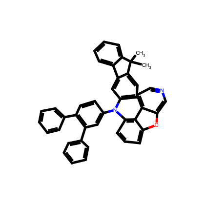 CC1(C)c2ccccc2-c2cc(N(c3ccc(-c4ccccc4)c(-c4ccccc4)c3)c3cccc4oc5cnccc5c34)ccc21